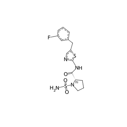 NS(=O)(=O)N1CCC[C@H]1C(=O)Nc1ncc(Cc2cccc(F)c2)s1